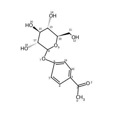 CC(=O)c1ccc(OC2O[C@H](CO)[C@@H](O)[C@H](O)[C@H]2O)cc1